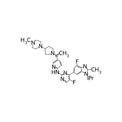 Cc1nc2c(F)cc(-c3nc(Nc4ccc([C@H](C)N5CCC(N6CCN(C)CC6)CC5)cn4)ncc3F)cc2n1C(C)C